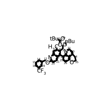 CCCCOC(Cc1c(C)cc2nc(OCc3cccc(C(F)(F)F)c3)ccc2c1-c1ccc2c3c(ccnc13)CCO2)OC(=O)C(C)(C)C